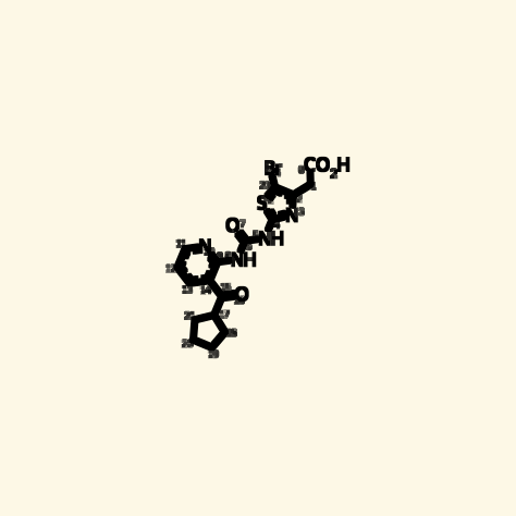 O=C(O)Cc1nc(NC(=O)Nc2ncccc2C(=O)C2CCCC2)sc1Br